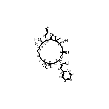 C=CC[C@H]1C(=O)C(C)(C)[C@@H](O)CC(=O)O[C@H](C(Cl)=Cc2ccccn2)C[C@@H]2O[C@]2(C)CCO[C@H](C)[C@H]1O